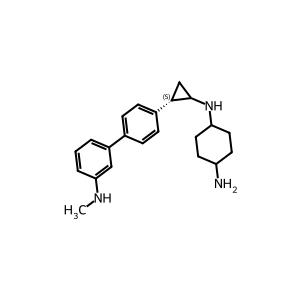 CNc1cccc(-c2ccc([C@@H]3CC3NC3CCC(N)CC3)cc2)c1